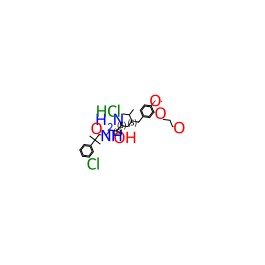 COCCCOc1cc(C[C@@H](C[C@H](N)[C@@H](O)CNC(=O)C(C)(C)c2cccc(Cl)c2)C(C)C)ccc1OC.Cl